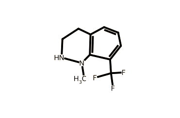 CN1NCCc2cccc(C(F)(F)F)c21